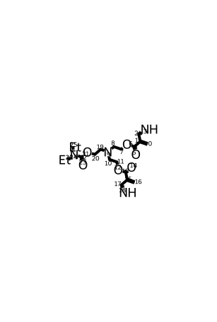 C=C(C=N)C(=O)OCCN(CCOC(=O)C(=C)C=N)CCOC(=O)N(CC)CC